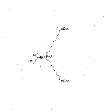 CCC(C(C)=O)C(=O)O.CCCCCCCCCCCCCCCCCCOP(=O)(O)OCCCCCCCCCCCCCCCCCC